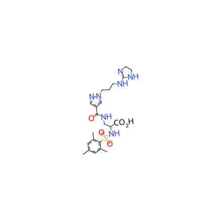 Cc1cc(C)c(S(=O)(=O)NC(CNC(=O)c2cnn(CCCNC3=NCCN3)c2)C(=O)O)c(C)c1